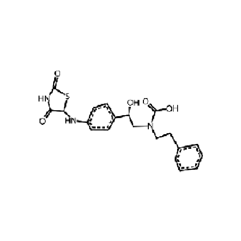 O=C1NC(=O)C(Nc2ccc([C@@H](O)CN(CCc3ccccc3)C(=O)O)cc2)S1